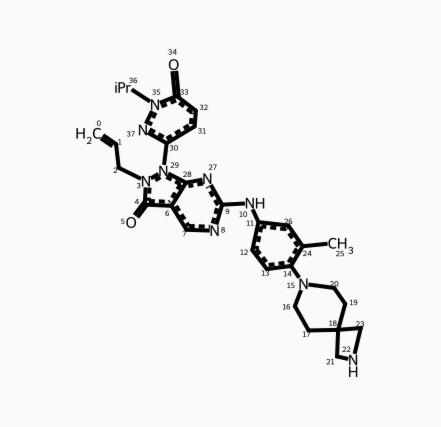 C=CCn1c(=O)c2cnc(Nc3ccc(N4CCC5(CC4)CNC5)c(C)c3)nc2n1-c1ccc(=O)n(C(C)C)n1